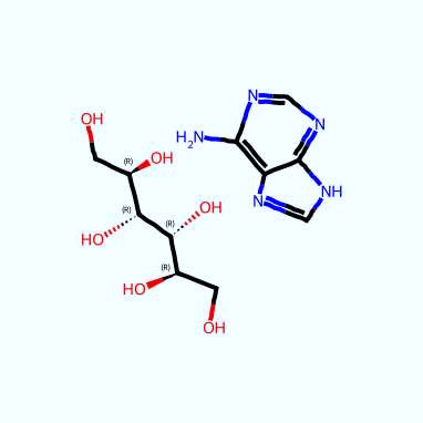 Nc1ncnc2[nH]cnc12.OC[C@@H](O)[C@@H](O)[C@H](O)[C@H](O)CO